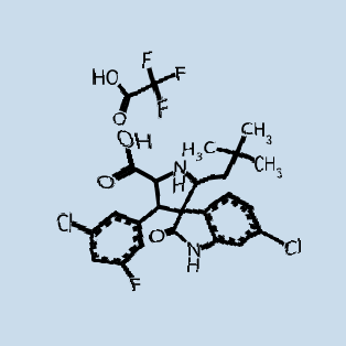 CC(C)(C)CC1NC(C(=O)O)C(c2cc(F)cc(Cl)c2)C12C(=O)Nc1cc(Cl)ccc12.O=C(O)C(F)(F)F